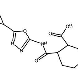 O=C(O)C1CCCCC1C(=O)Nc1nnc(C2CC2)o1